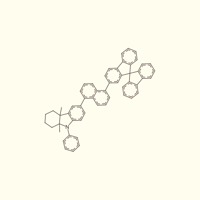 CC12CCCCC1(C)N(c1ccccc1)c1ccc(-c3cccc4c(-c5ccc6c(c5)C5(c7ccccc7-c7ccccc75)c5ccccc5-6)cccc34)cc12